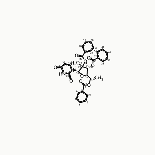 C[C@H](OC(=O)c1ccccc1)[C@H]1O[C@@H](n2ccc(=O)[nH]c2=O)[C@](C)(OC(=O)c2ccccc2)[C@@H]1OC(=O)c1ccccc1